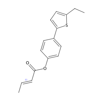 C/C=C/C(=O)Oc1ccc(-c2ccc(CC)s2)cc1